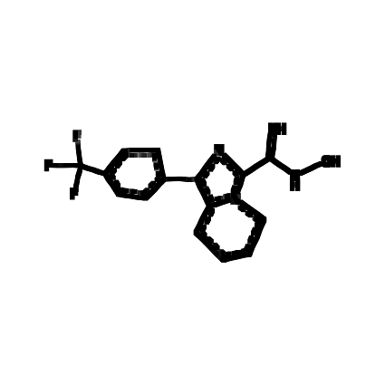 N=C(NO)c1nc(-c2ccc(C(F)(F)F)cc2)c2ccccn12